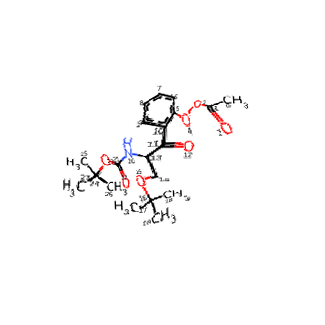 CC(=O)OOc1ccccc1C(=O)C(COC(C)(C)C)NC(=O)OC(C)(C)C